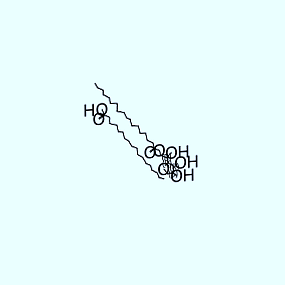 CCCCCCCCCCCCCCCCCC(=O)O.CCCCCCCCCCCCCCCCCC(=O)OC[C@@H](O)[C@H]1OC[C@H](O)[C@H]1O